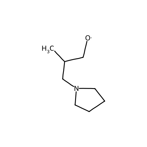 CC(C[O])CN1CCCC1